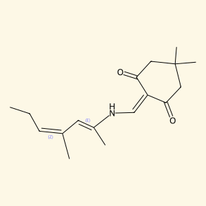 CC/C=C(C)\C=C(/C)NC=C1C(=O)CC(C)(C)CC1=O